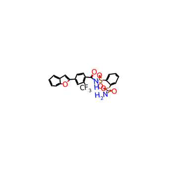 NS(=O)(=O)c1ccccc1S(=O)(=O)NC(=O)c1ccc(-c2cc3ccccc3o2)cc1C(F)(F)F